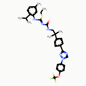 CCS/C(=N\C(=O)NCC(C)(C)c1ccc(-c2ncn(-c3ccc(OC(F)(F)F)cc3)n2)cc1)Nc1cc(C)ccc1C(C)C